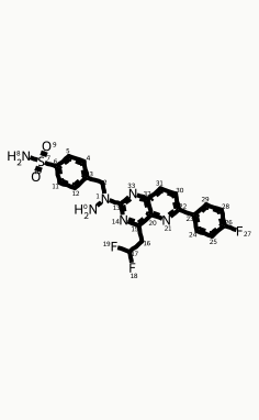 NN(Cc1ccc(S(N)(=O)=O)cc1)c1nc(CC(F)F)c2nc(-c3ccc(F)cc3)ccc2n1